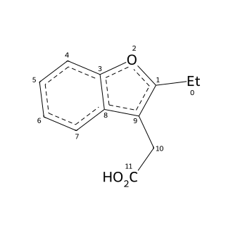 CCc1oc2ccccc2c1CC(=O)O